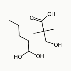 CC(C)(CO)C(=O)O.CCCCC(O)O